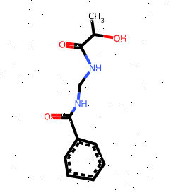 CC(O)C(=O)NCNC(=O)c1ccccc1